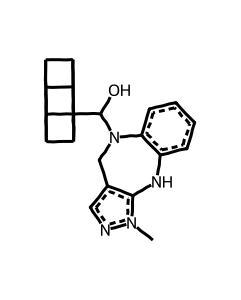 Cn1ncc2c1Nc1ccccc1N(C(O)C13C4C5C6C4C1C6C53)C2